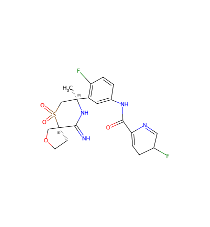 C[C@@]1(c2cc(NC(=O)C3=CCC(F)C=N3)ccc2F)CS(=O)(=O)[C@@]2(CCOC2)C(=N)N1